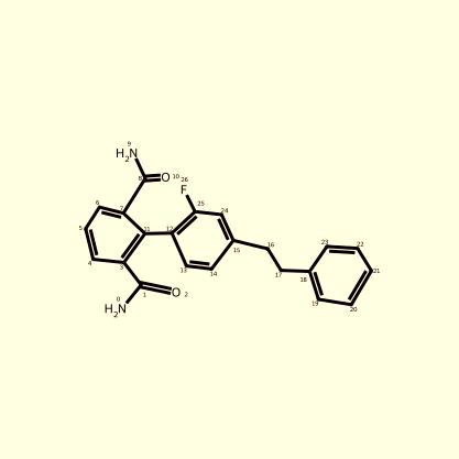 NC(=O)c1cccc(C(N)=O)c1-c1ccc(CCc2ccccc2)cc1F